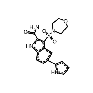 NC(=O)c1[nH]c2ccc(-c3ccc[nH]3)cc2c1S(=O)(=O)N1CCOCC1